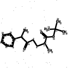 CN(CCC(=O)C(N)c1cccnc1)C(=O)OC(C)(C)C